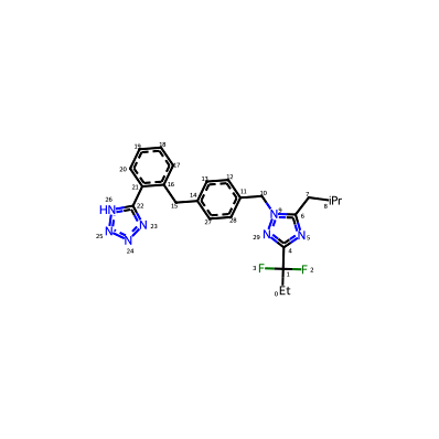 CCC(F)(F)c1nc(CC(C)C)n(Cc2ccc(Cc3ccccc3-c3nnn[nH]3)cc2)n1